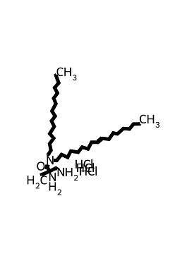 C=CC(N)(CN)C(=O)N(CCCCCCCCC=CCCCCCCCC)CCCCCCCCCCCCCCCC.Cl.Cl.Cl